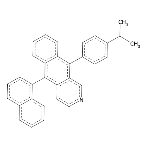 CC(C)c1ccc(-c2c3ccccc3c(-c3cccc4ccccc34)c3ccncc23)cc1